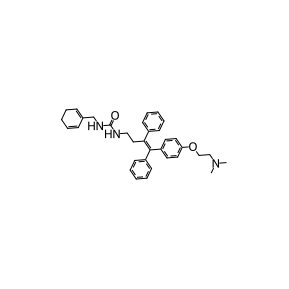 CN(C)CCOc1ccc(/C(=C(/CCNC(=O)NCC2=CCCC=C2)c2ccccc2)c2ccccc2)cc1